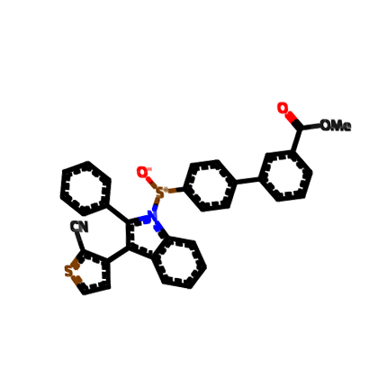 COC(=O)c1cccc(-c2ccc([S+]([O-])n3c(-c4ccccc4)c(-c4ccsc4C#N)c4ccccc43)cc2)c1